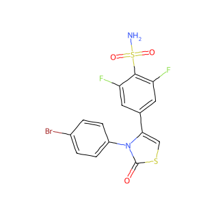 NS(=O)(=O)c1c(F)cc(-c2csc(=O)n2-c2ccc(Br)cc2)cc1F